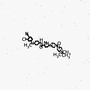 CN(c1ccc(C#N)c(Cl)c1)C1CCC(NC(=O)c2ccc(N3CCN(C(=O)N4CCN(C(C)(C)C)CC4)CC3)nn2)CC1